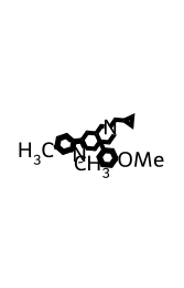 COc1cccc(C23CCN(CC4CC4)CC2Cc2c(n(C)c4cc(C)ccc24)C3)c1